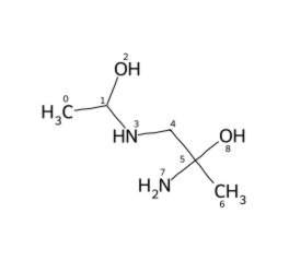 CC(O)NCC(C)(N)O